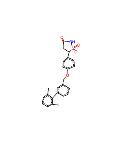 Cc1cccc(C)c1-c1cccc(COc2ccc(C3CC(=O)NS3(=O)=O)cc2)c1